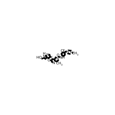 C[C@H]1CN(C(=O)Nc2ccc(CN3CCN(C)CC3)c(C(F)(F)F)c2)Cc2cc(Oc3c(F)cnc4[nH]c(CO)cc34)cnc21